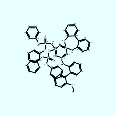 COc1ccccc1-c1ccccc1O[PH]1=NP2(=NP(OP(=O)(Oc3ccccc3)Oc3ccccc3)(OP(=O)(Oc3ccccc3)Oc3ccccc3)=N1)Oc1ccccc1-c1ccccc1O2